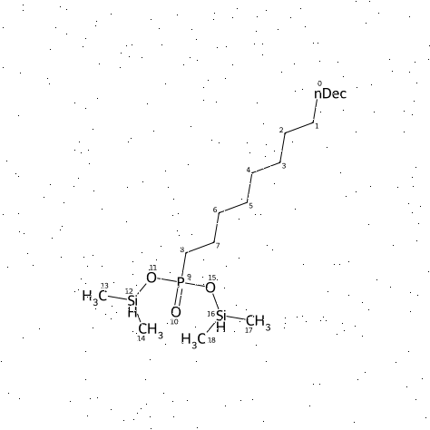 CCCCCCCCCCCCCCCCCCP(=O)(O[SiH](C)C)O[SiH](C)C